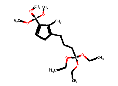 CCO[Si](CCCC1=C(C)C([Si](OC)(OC)OC)=CC1)(OCC)OCC